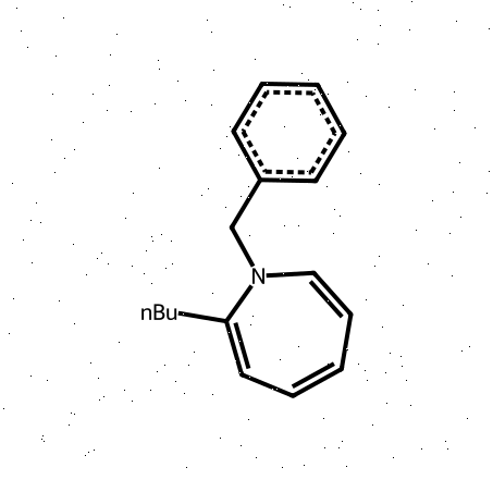 CCCCC1=CC=CC=CN1Cc1ccccc1